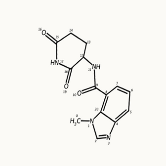 Cn1cnc2cccc(C(=O)NC3CCC(=O)NC3=O)c21